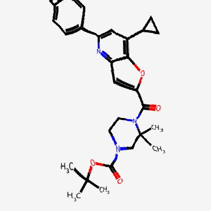 CC(C)(C)OC(=O)N1CCN(C(=O)c2cc3nc(-c4ccc(F)cc4)cc(C4CC4)c3o2)C(C)(C)C1